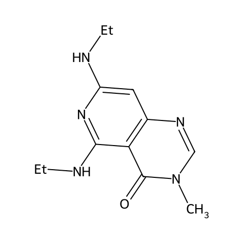 CCNc1cc2ncn(C)c(=O)c2c(NCC)n1